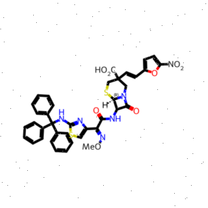 CON=C(C(=O)NC1C(=O)N2CC(C=Cc3ccc([N+](=O)[O-])o3)(C(=O)O)CS[C@H]12)c1csc(NC(c2ccccc2)(c2ccccc2)c2ccccc2)n1